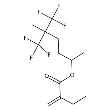 C=C(CC)C(=O)OC(C)CCC(C)(C(F)(F)F)C(F)(F)F